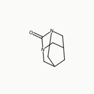 O=C1N2CC3CC(C2)CN1C3